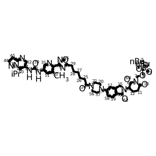 CCCCOP(=O)(OCCCC)OCN1C(=O)CCC(N2Cc3cc(N4CCN(C(=O)CCCCCc5nc(-c6ncc(NC(=O)Nc7cnc8ccnn8c7C(C)C)cc6C)no5)CC4)ccc3C2=O)C1=O